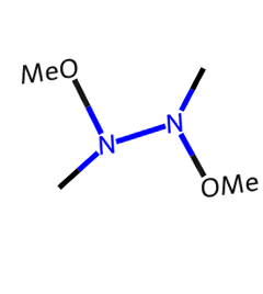 CON(C)N(C)OC